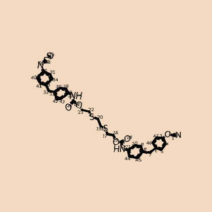 N#COc1ccc(Cc2ccc(NC(=O)OCCSCCSCCOC(=O)Nc3ccc(Cc4ccc(N=C=O)cc4)cc3)cc2)cc1